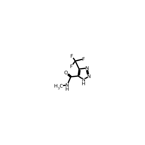 CNC(=O)c1[nH]nnc1C(F)(F)F